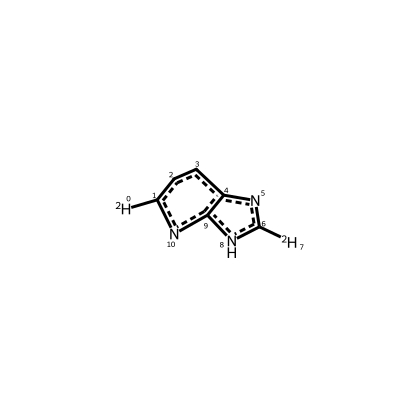 [2H]c1ccc2nc([2H])[nH]c2n1